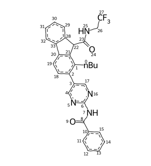 CCCCc1c(-c2cnc(NC(=O)c3ccccc3)nc2)ccc2c1C(C(=O)NCC(F)(F)F)c1ccccc1-2